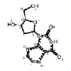 O=c1[nH]c(=O)n(C2C[C@H](O)[C@@H](CO)O2)c2nccnc12